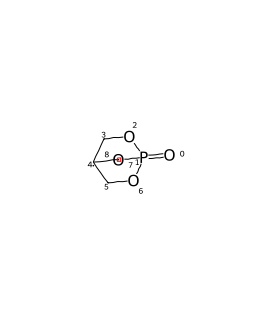 O=P12OC[C](CO1)CO2